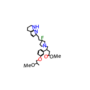 COC(=O)CC(CN1CCC(F)(CCc2ccc3c(n2)NCCC3)C1)c1cccc(OCC(C)OC)c1